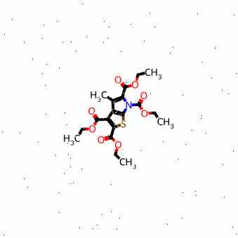 CCOC(=O)c1sc2c(c(C)c(C(=O)OCC)n2C(=O)OCC)c1C(=O)OCC